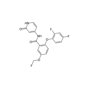 O=C(Nc1cc[nH]c(=O)c1)c1cc(OCF)ccc1Oc1ccc(F)cc1F